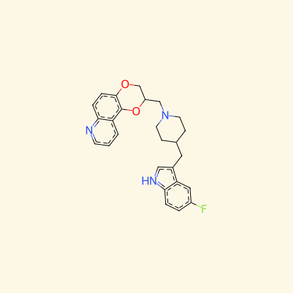 Fc1ccc2[nH]cc(CC3CCN(CC4COc5ccc6ncccc6c5O4)CC3)c2c1